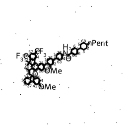 CCCCCC1CCC(c2ccc(C(=O)Nc3ccc(-c4ccc(-c5cc6c7c(c8c(c6cc5OC)OC(c5ccccc5)(c5ccc(OC)cc5)C=C8C)C(C)(C)c5c-7cc(C(F)(F)F)cc5C(F)(F)F)c(C)c4)cc3)cc2)CC1